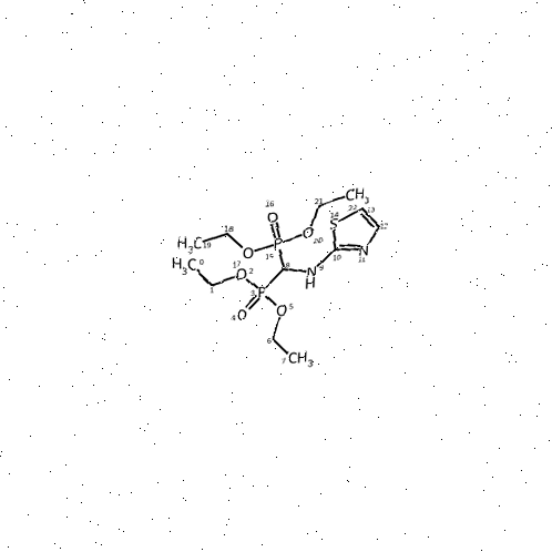 CCOP(=O)(OCC)C(Nc1nccs1)P(=O)(OCC)OCC